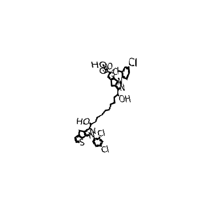 O=S(=O)(O)c1cc2c(s1)-c1c(c(C(O)CCCCCCCCC(O)c3nn(-c4ccc(Cl)cc4Cl)c4c3Cc3ccsc3-4)nn1-c1ccc(Cl)cc1Cl)C2